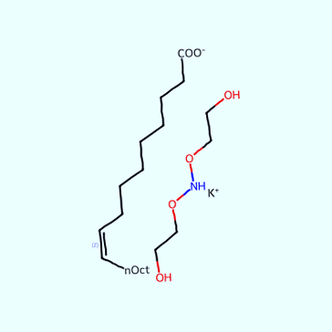 CCCCCCCC/C=C\CCCCCCCC(=O)[O-].OCCONOCCO.[K+]